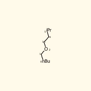 CCCCCO[CH]CC(C)C